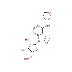 CC(C)=O.OC[C@H]1O[C@@H](n2cnc3c(NC4CCOC4)ncnc32)[C@@H](O)[C@H]1O